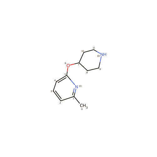 Cc1cccc(OC2CCNCC2)n1